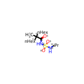 CCCCCCC(C)(CCCCCC)C(=O)NS(=O)(=O)NC(C)C